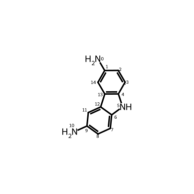 Nc1c[c]c2[nH]c3ccc(N)cc3c2c1